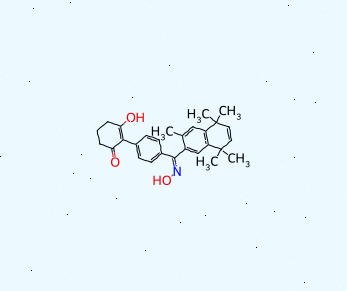 Cc1cc2c(cc1/C(=N/O)c1ccc(C3=C(O)CCCC3=O)cc1)C(C)(C)C=CC2(C)C